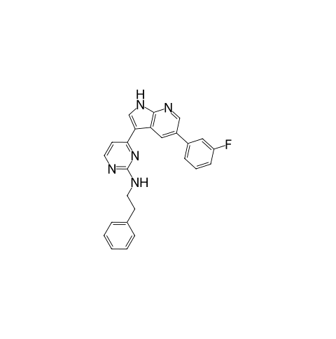 Fc1cccc(-c2cnc3[nH]cc(-c4ccnc(NCCc5ccccc5)n4)c3c2)c1